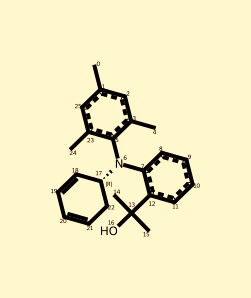 Cc1cc(C)c(N(c2ccccc2C(C)(C)O)[C@H]2C=CC=CC2)c(C)c1